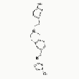 CC(C)(C)c1ccc(CCN2CCc3cc(SNc4nc(C(C)(C)C)cs4)ccc3C2)cc1